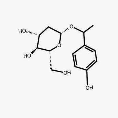 CC(O[C@H]1C[C@@H](O)[C@H](O)[C@@H](CO)O1)c1ccc(O)cc1